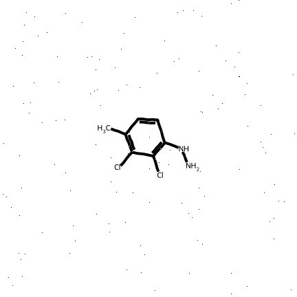 Cc1ccc(NN)c(Cl)c1Cl